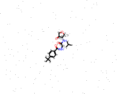 CC(C)C[C@H](NC(=O)c1ccc(C(C)(C)C)cc1)C(=O)N[C@@H]1C(=O)CO[C@@H]1C